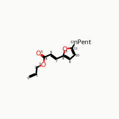 C=CCOC(=O)C=Cc1ccc(CCCCC)o1